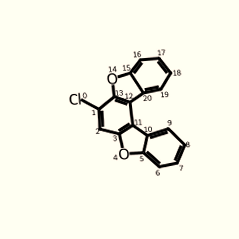 Clc1cc2oc3ccccc3c2c2c1oc1ccccc12